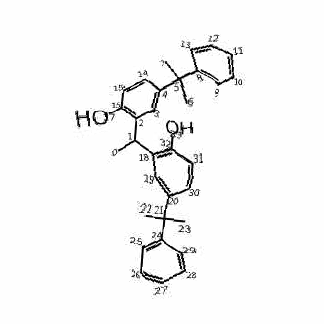 CC(c1cc(C(C)(C)c2ccccc2)c[c]c1O)c1cc(C(C)(C)c2ccccc2)ccc1O